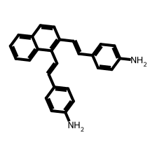 Nc1ccc(C=Cc2ccc3ccccc3c2C=Cc2ccc(N)cc2)cc1